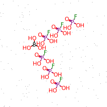 O=P(O)(O)F.O=P(O)(O)F.O=P(O)(O)F.O=P(O)(O)F.O=P(O)(O)F.O=P(O)(O)F.OB(O)O